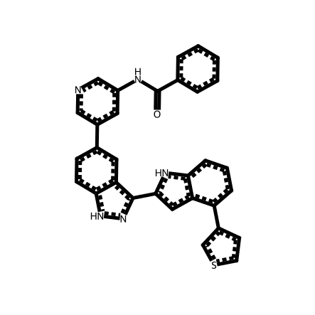 O=C(Nc1cncc(-c2ccc3[nH]nc(-c4cc5c(-c6ccsc6)cccc5[nH]4)c3c2)c1)c1ccccc1